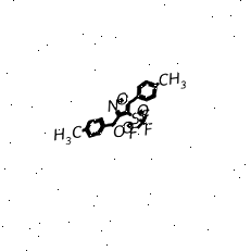 Cc1ccc(C(=O)c2noc(-c3ccc(C)cc3)c2S(=O)(=O)C(F)(F)F)cc1